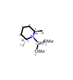 CO[SiH](OC)N1[C@H](C)CCC[C@H]1C